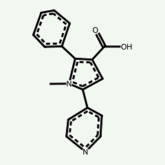 Cn1c(-c2ccncc2)cc(C(=O)O)c1-c1ccccc1